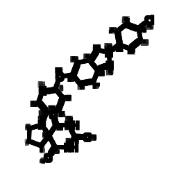 O=C1NC(=O)C2(CCCN2c2ccc(Oc3ccc4nn(-c5ccc(Cl)cc5)cc4c3)nc2)C(=O)N1